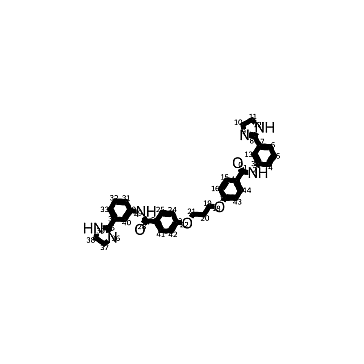 O=C(Nc1cccc(C2=NCCN2)c1)c1ccc(OCCCOc2ccc(C(=O)Nc3cccc(C4=NCCN4)c3)cc2)cc1